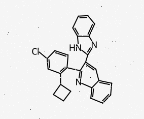 Clc1ccc(-c2nc3ccccc3cc2-c2nc3ccccc3[nH]2)c(C2CCC2)c1